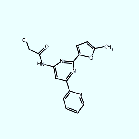 Cc1ccc(-c2nc(NC(=O)CCl)cc(-c3ccccn3)n2)o1